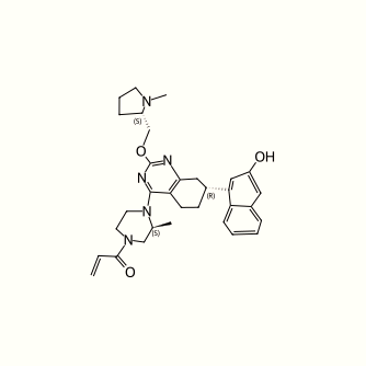 C=CC(=O)N1CCN(c2nc(OC[C@@H]3CCCN3C)nc3c2CC[C@@H](c2cc(O)cc4ccccc24)C3)[C@@H](C)C1